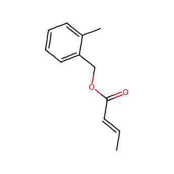 CC=CC(=O)OCc1ccccc1C